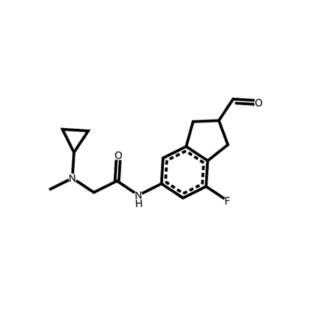 CN(CC(=O)Nc1cc(F)c2c(c1)CC(C=O)C2)C1CC1